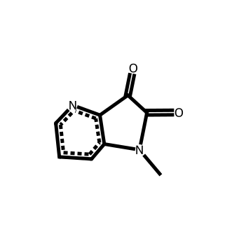 CN1C(=O)C(=O)c2ncccc21